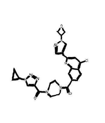 O=C(c1ccc2c(Cl)cc(-c3cnn(C4COC4)c3)nc2c1)N1CCN(C(=O)c2cn(C3CC3)nn2)CC1